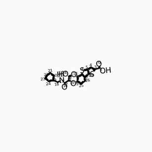 O=C(O)c1cc2sc3cc(OC(C(=O)O)C(=O)NCc4ccccc4)ccc3c2s1